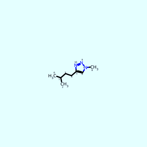 CC(C)CCc1cn(C)nn1